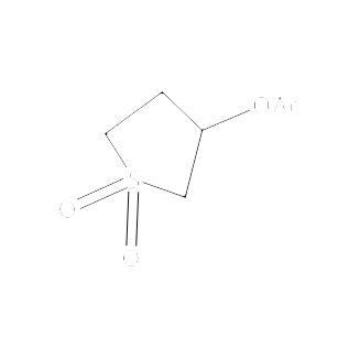 CC(=O)OC1CCS(=O)(=O)C1